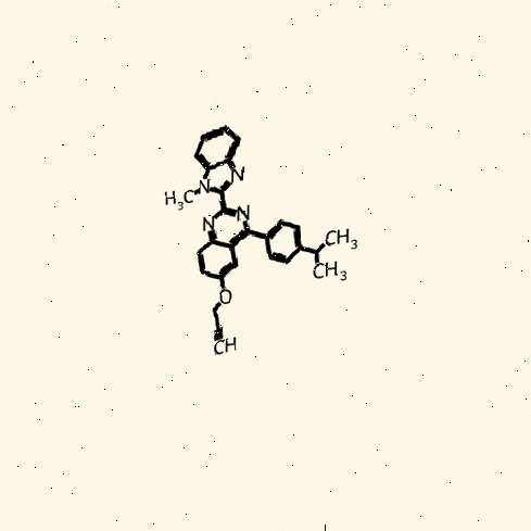 C#CCOc1ccc2nc(-c3nc4ccccc4n3C)nc(-c3ccc(C(C)C)cc3)c2c1